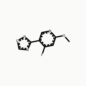 COc1cc(F)c(-c2ncon2)cn1